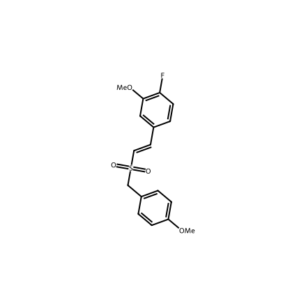 COc1ccc(CS(=O)(=O)C=Cc2ccc(F)c(OC)c2)cc1